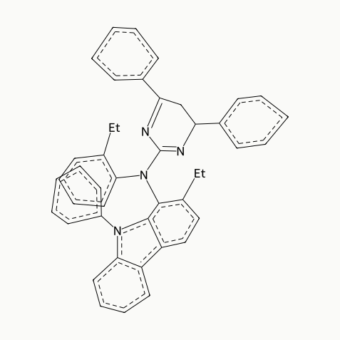 CCc1ccccc1N(C1=NC(c2ccccc2)CC(c2ccccc2)=N1)c1c(CC)ccc2c3ccccc3n(-c3ccccc3)c12